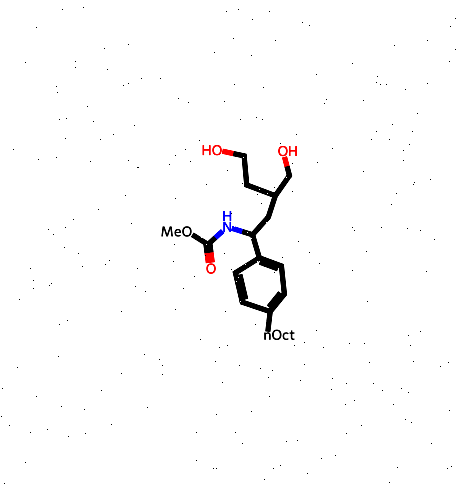 CCCCCCCCc1ccc(C(CC(CO)CCO)NC(=O)OC)cc1